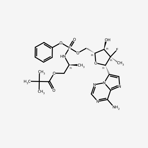 C[C@@H](COC(=O)C(C)(C)C)NP(=O)(OC[C@H]1O[C@@H](c2cnc3c(N)ncnn23)[C@](C)(F)[C@@H]1O)Oc1ccccc1